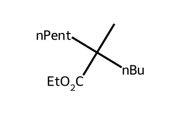 CCCCCC(C)(CCCC)C(=O)OCC